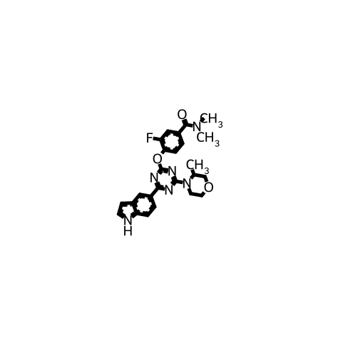 CC1COCCN1c1nc(Oc2ccc(C(=O)N(C)C)cc2F)nc(-c2ccc3[nH]ccc3c2)n1